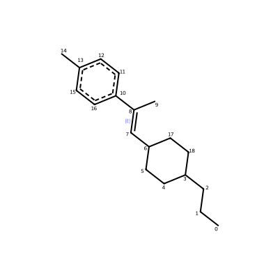 CCCC1CCC(/C=C(\C)c2ccc(C)cc2)CC1